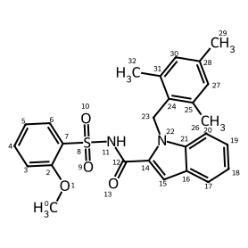 COc1ccccc1S(=O)(=O)NC(=O)c1cc2ccccc2n1Cc1c(C)cc(C)cc1C